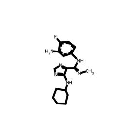 C/N=C(\Nc1ccc(F)c(N)c1)C1=NCN=C1NC1CCCCC1